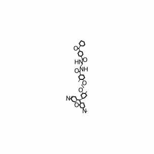 Cc1cc(C(=O)NCCNC(=O)c2ccc(C(=O)c3ccccc3)cc2)ccc1OCCOc1cc(-c2c3ccc(=[N+](C)C)cc-3oc3cc(N(C)C)ccc23)ccc1C